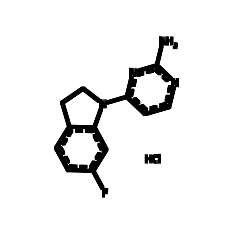 Cl.Nc1nccc(N2CCc3ccc(F)cc32)n1